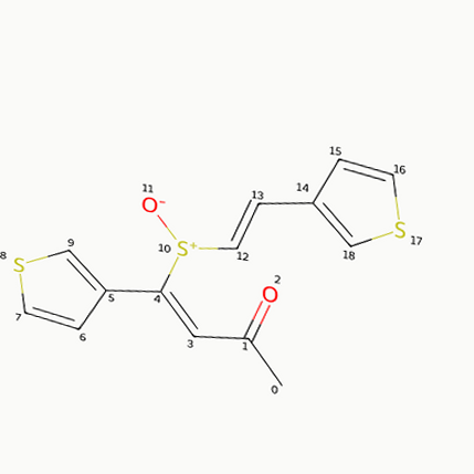 CC(=O)C=C(c1ccsc1)[S+]([O-])C=Cc1ccsc1